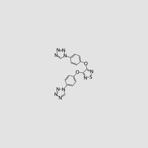 c1cc(-n2cnnn2)ccc1Oc1nsnc1Oc1ccc(-n2cnnn2)cc1